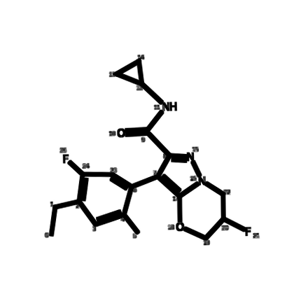 CCc1cc(C)c(-c2c(C(=O)NC3CC3)nn3c2OCC(F)C3)cc1F